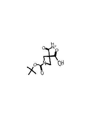 CC(C)(C)OC(=O)N1CC(C(N)=O)(C(=O)O)C1